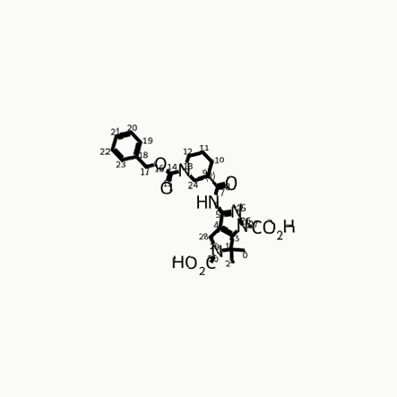 CC1(C)c2c(c(NC(=O)[C@@H]3CCCN(C(=O)OCc4ccccc4)C3)nn2C(=O)O)CN1C(=O)O